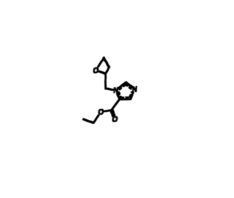 CCOC(=O)c1cncn1CC1CCO1